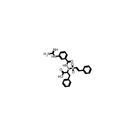 N=C(N)Nc1cccc(C(=O)NN(C(Cc2ccccc2)C(=O)O)S(=O)(=O)/C=C/c2ccccc2)c1